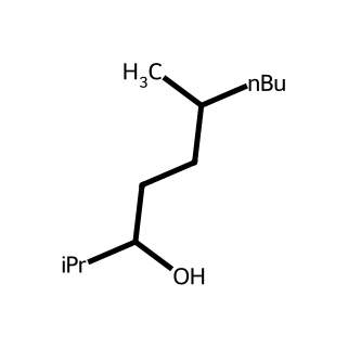 CCCCC(C)CCC(O)C(C)C